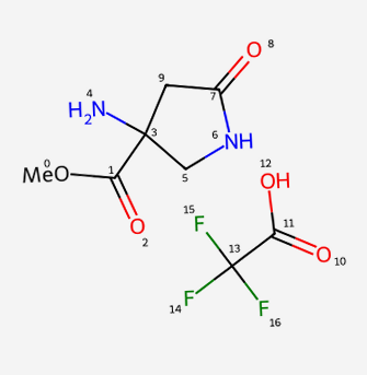 COC(=O)C1(N)CNC(=O)C1.O=C(O)C(F)(F)F